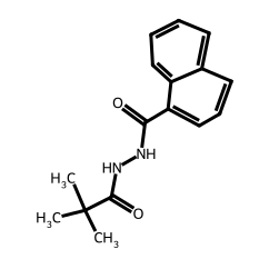 CC(C)(C)C(=O)NNC(=O)c1cccc2ccccc12